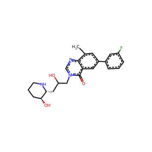 Cc1cc(-c2cccc(F)c2)cc2c(=O)n(CC(O)C[C@H]3NCCC[C@@H]3O)cnc12